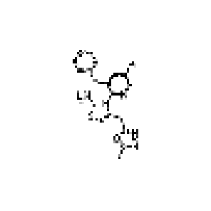 Cc1nnc(CC2=CSC(N)N2c2ncc(Br)cc2Oc2ccccc2)o1